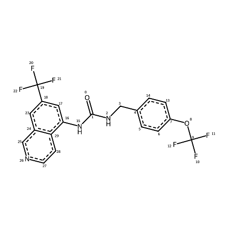 O=C(NCc1ccc(OC(F)(F)F)cc1)Nc1cc(C(F)(F)F)cc2cnccc12